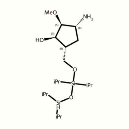 CO[C@@H]1[C@H](O)[C@@H](CO[Si](O[SiH](C(C)C)C(C)C)(C(C)C)C(C)C)C[C@H]1N